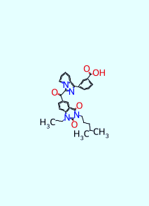 CCCn1c(=O)n(CCCC(C)C)c(=O)c2cc(C(=O)c3nc(-c4cccc(C(=O)O)c4)c4ccccn34)ccc21